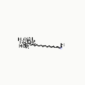 CC/C=C\CCCCCCCCCCCCCCOP(=O)(O)C(CC)[N+](C)(C)C